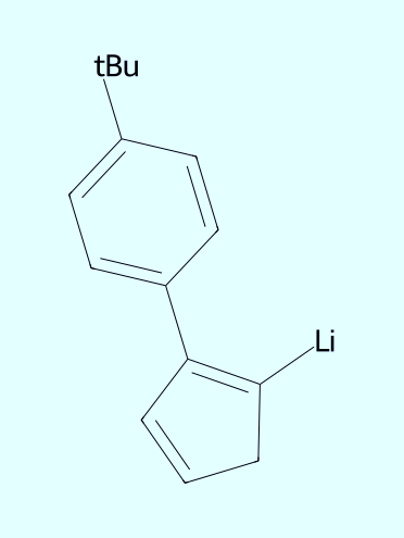 [Li][C]1=C(c2ccc(C(C)(C)C)cc2)C=CC1